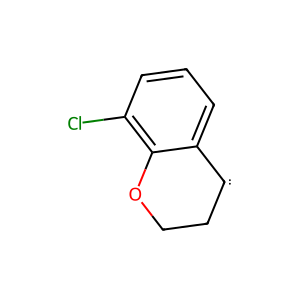 Clc1cccc2c1OCC[C]2